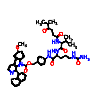 COc1ccc2c(c1)c1ccnc(-c3cccc4ccccc34)c1n2C(=O)OCc1ccc(NC(=O)[C@H](CCCNC(N)=O)NC(=O)[C@@H](NC(=O)CCC(=O)C(C)C)C(C)C)cc1